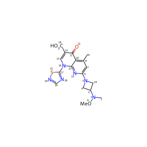 CON(C)C1CN(c2cc(C)c3c(=O)c(C(=O)O)cn(-c4ncns4)c3n2)C1